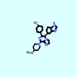 CNC1CCN(c2nc(-c3ccc(C#N)cc3)c(-c3ccc4c(c3)ncn4C)n3ccnc23)CC1